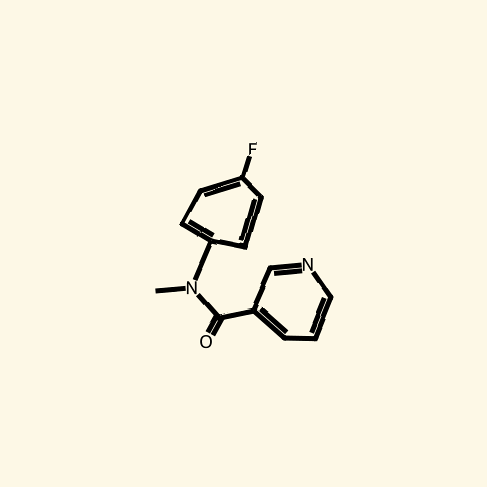 CN(C(=O)c1cccnc1)c1ccc(F)cc1